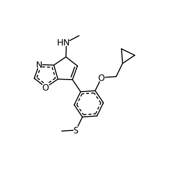 CNC1C=C(c2cc(SC)ccc2OCC2CC2)c2ocnc21